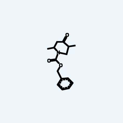 CC1CN(C(=O)OCc2ccccc2)C(C)CC1=O